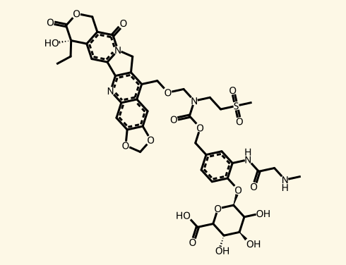 CC[C@@]1(O)C(=O)OCc2c1cc1n(c2=O)Cc2c-1nc1cc3c(cc1c2COCN(CCS(C)(=O)=O)C(=O)OCc1ccc(O[C@@H]2OC(C(=O)O)[C@@H](O)[C@H](O)C2O)c(NC(=O)CNC)c1)OCO3